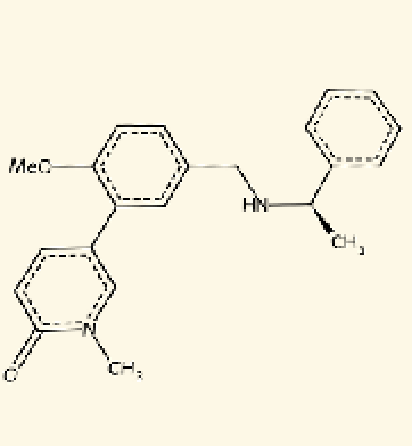 COc1ccc(CN[C@H](C)c2ccccc2)cc1-c1ccc(=O)n(C)c1